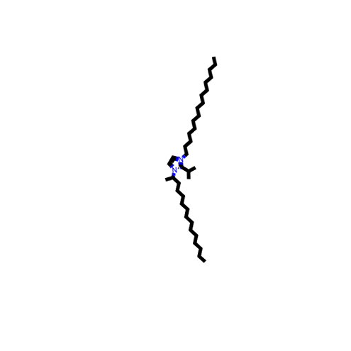 CCCCCCCCCCCCCCCCn1cc[n+](C(C)CCCCCCCCCCCCC)c1C(C)C